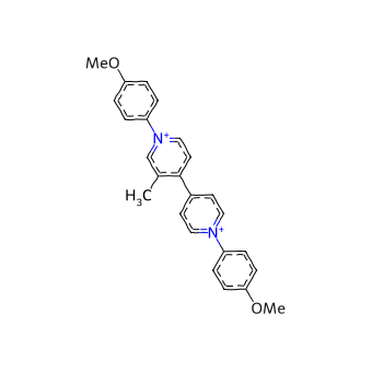 COc1ccc(-[n+]2ccc(-c3cc[n+](-c4ccc(OC)cc4)cc3C)cc2)cc1